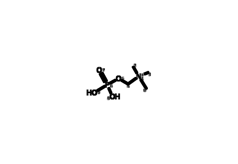 C[N+](C)(C)COP(=O)(O)O